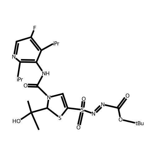 CC(C)c1ncc(F)c(C(C)C)c1NC(=O)N1C=C(S(=O)(=O)N=NC(=O)OC(C)(C)C)SC1C(C)(C)O